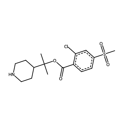 CC(C)(OC(=O)c1ccc(S(C)(=O)=O)cc1Cl)C1CCNCC1